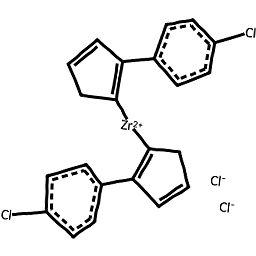 Clc1ccc(C2=[C]([Zr+2][C]3=C(c4ccc(Cl)cc4)C=CC3)CC=C2)cc1.[Cl-].[Cl-]